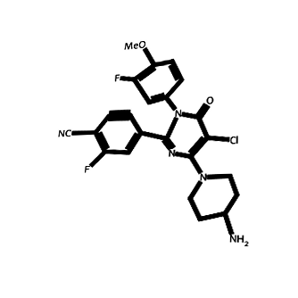 COc1ccc(-n2c(-c3c#cc(C#N)c(F)c3)nc(N3CCC(N)CC3)c(Cl)c2=O)cc1F